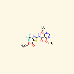 CCOC(=O)c1sc(NC(=O)c2c(OC)ncnc2OC)nc1C(F)(F)F